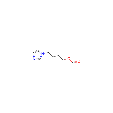 O=COCCCCn1ccnc1